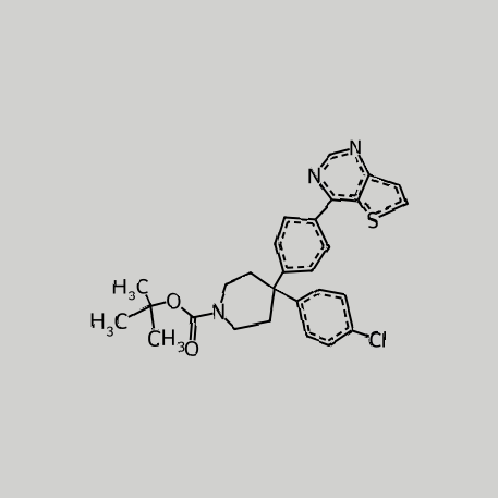 CC(C)(C)OC(=O)N1CCC(c2ccc(Cl)cc2)(c2ccc(-c3ncnc4ccsc34)cc2)CC1